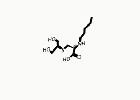 CCCCCN[C@H](CSC(CO)CO)C(=O)O